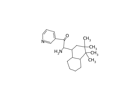 CC1(C)CC(C(N)C(=O)c2cccnc2)C2CCCCC2C1(C)C